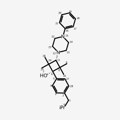 CC(C)Cc1ccc([C@]2(O)C(C)(C)[C@@H](N3CCN(c4ccccc4)CC3)C2(C)C)cc1